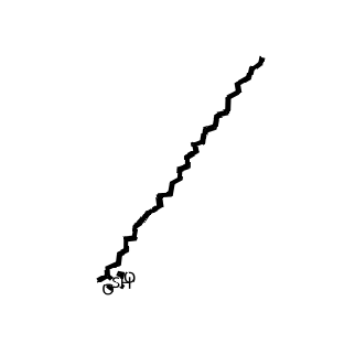 CCCCCCCCCCCCCCCCCCCCCCCCCCCCCCCC(C)[SH](C)(=O)C=O